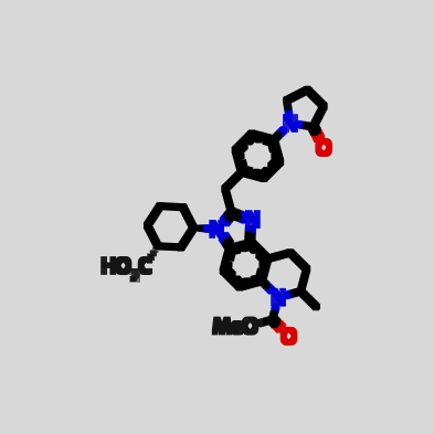 COC(=O)N1c2ccc3c(nc(Cc4ccc(N5CCCC5=O)cc4)n3[C@@H]3CCC[C@@H](C(=O)O)C3)c2CCC1C